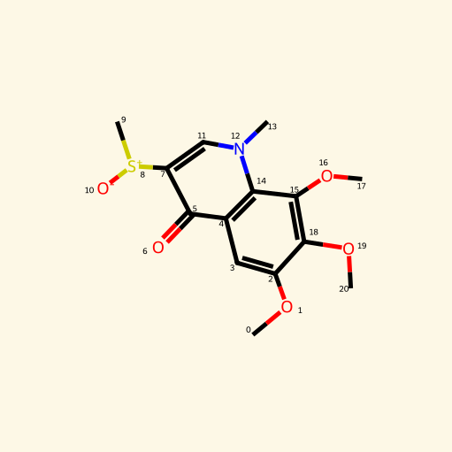 COc1cc2c(=O)c([S+](C)[O-])cn(C)c2c(OC)c1OC